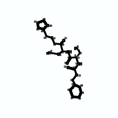 CCCOC(NC(=O)[C@H](CC(C)C)NC(=O)OCc1ccccc1)C(=O)CSCc1ccco1